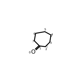 O=C1[C]C[C]CCC1